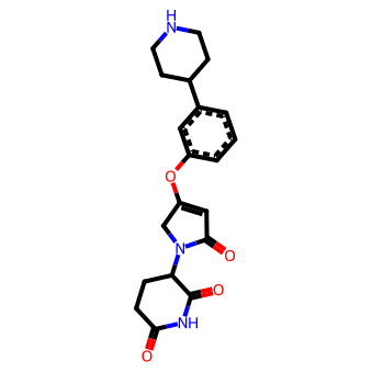 O=C1CCC(N2CC(Oc3cccc(C4CCNCC4)c3)=CC2=O)C(=O)N1